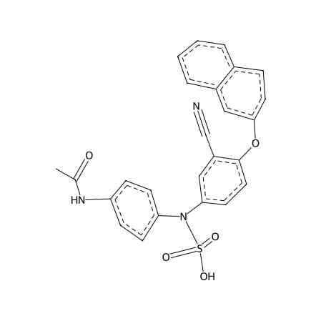 CC(=O)Nc1ccc(N(c2ccc(Oc3ccc4ccccc4c3)c(C#N)c2)S(=O)(=O)O)cc1